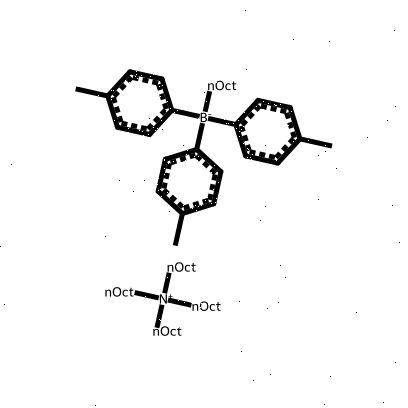 CCCCCCCC[B-](c1ccc(C)cc1)(c1ccc(C)cc1)c1ccc(C)cc1.CCCCCCCC[N+](CCCCCCCC)(CCCCCCCC)CCCCCCCC